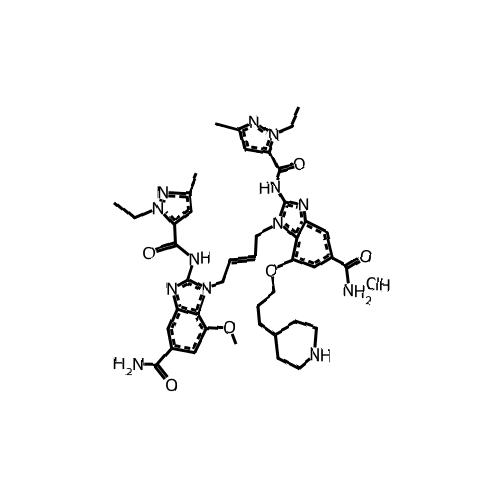 CCn1nc(C)cc1C(=O)Nc1nc2cc(C(N)=O)cc(OC)c2n1CC=CCn1c(NC(=O)c2cc(C)nn2CC)nc2cc(C(N)=O)cc(OCCCC3CCNCC3)c21.Cl